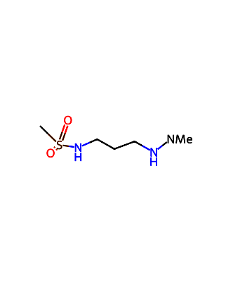 CNNCCCNS(C)(=O)=O